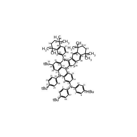 CC(C)(C)c1ccc(N(c2ccc(C(C)(C)C)cc2)c2ccc3c(c2)N(c2ccc(C(C)(C)C)cc2)c2cc(C(C)(C)C)cc4c2B3c2sc3cc5c(cc3c2N4c2ccc3c(c2)C(C)(C)CCC3(C)C)C(C)(C)CCC5(C)C)cc1